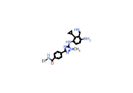 CCNC(=O)c1ccc(-c2nc(Nc3ccc(N)c(C=N)c3C3CC3)n(C)n2)cc1